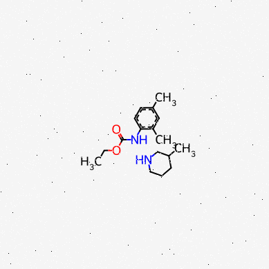 CC1CCCNC1.CCOC(=O)Nc1ccc(C)cc1C